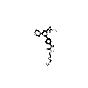 CCOCCNC(=O)Nc1ccc(-c2nc(CS(C)(=O)=O)cc(N3CCOCC3)n2)cc1